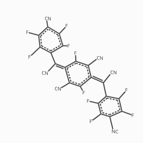 [C-]#[N+]/C(c1c(F)c(F)c(C#N)c(F)c1F)=c1/c(F)c(C#N)/c(=C(\C#N)c2c(F)c(F)c([N+]#[C-])c(F)c2F)c(F)c1[N+]#[C-]